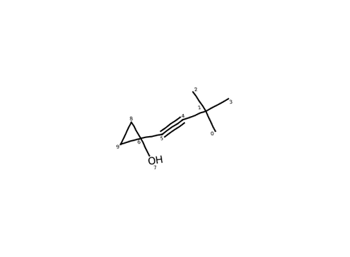 CC(C)(C)C#CC1(O)CC1